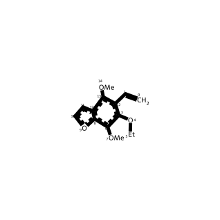 C=Cc1c(OCC)c(OC)c2occc2c1OC